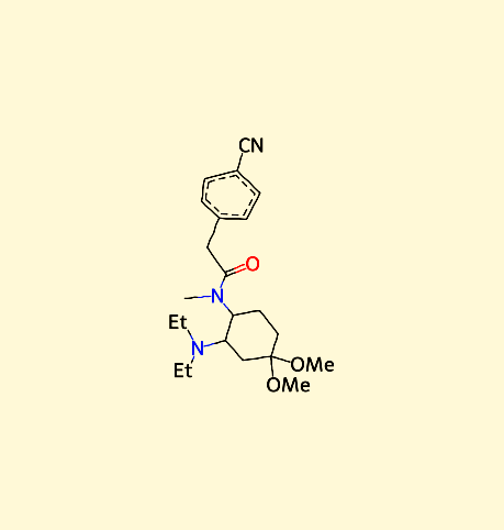 CCN(CC)C1CC(OC)(OC)CCC1N(C)C(=O)Cc1ccc(C#N)cc1